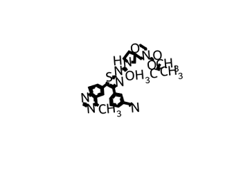 Cc1ncnc2ccc(-c3sc(NC(=O)N4CCC5(C4)CN(C(=O)OC(C)(C)C)CCO5)nc3-c3cccc(C#N)c3)cc12